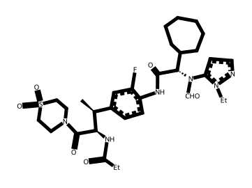 CCC(=O)N[C@@H](C(=O)N1CCS(=O)(=O)CC1)[C@@H](C)c1ccc(NC(=O)[C@H](C2CCCCCC2)N(C=O)c2ccnn2CC)c(F)c1